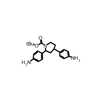 CC(C)(C)OC(=O)N1CCC(c2ccc(N)cc2)CC1c1ccc(N)cc1